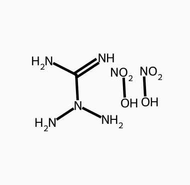 N=C(N)N(N)N.O=[N+]([O-])O.O=[N+]([O-])O